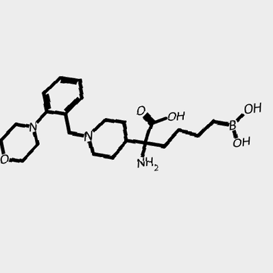 NC(CCCCB(O)O)(C(=O)O)C1CCN(Cc2ccccc2N2CCOCC2)CC1